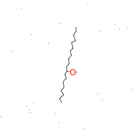 CCCCCCCCCCCC([O])CCCCCCCC